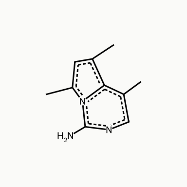 Cc1cnc(N)n2c(C)cc(C)c12